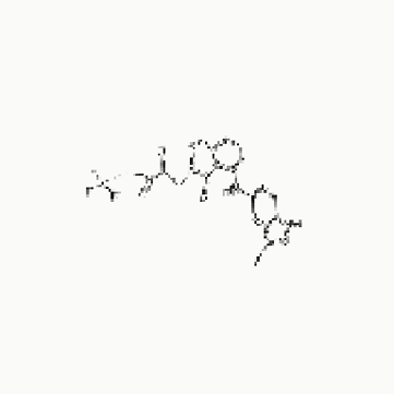 Cc1n[nH]c2ccc(Nc3cccc4ccn(CC(=O)NCC(F)(F)F)c(=O)c34)cc12